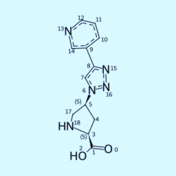 O=C(O)[C@@H]1C[C@H](n2cc(-c3cccnc3)nn2)CN1